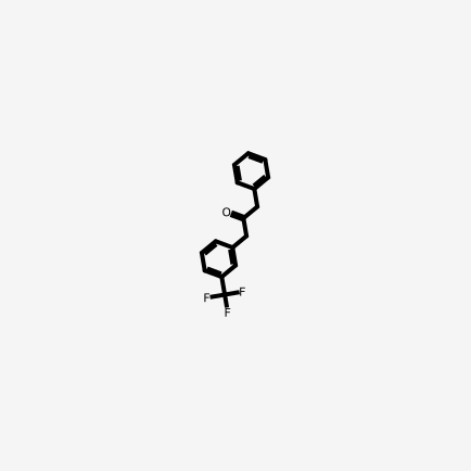 O=C(Cc1ccccc1)Cc1cccc(C(F)(F)F)c1